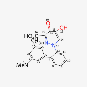 CNc1cc(C)cc(-c2ccccc2-n2cc(O)c(=O)c(C(=O)O)n2)c1